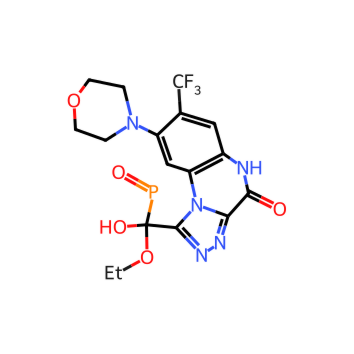 CCOC(O)(P=O)c1nnc2c(=O)[nH]c3cc(C(F)(F)F)c(N4CCOCC4)cc3n12